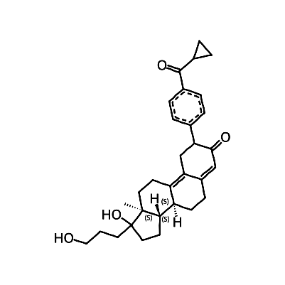 C[C@]12CCC3=C4CC(c5ccc(C(=O)C6CC6)cc5)C(=O)C=C4CC[C@H]3[C@@H]1CCC2(O)CCCO